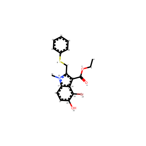 CCOC(=O)c1c(CSc2ccccc2)n(C)c2ccc(O)c(Br)c12